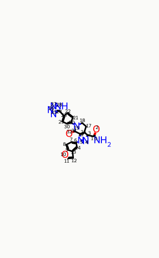 NC(=O)c1nn(-c2ccc3occc3c2)c2c1CCN(c1ccc(-c3nnn[nH]3)cc1)C2=O